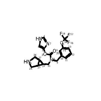 O=C(Oc1c[nH]cn1)N(Cc1cccc(OC(F)(F)F)c1)CC1C2CNCC21